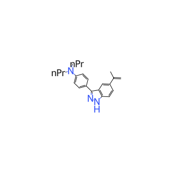 C=C(C)c1ccc2[nH]nc(-c3ccc(N(CCC)CCC)cc3)c2c1